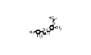 Cc1cc(CCN[C@@H](C)[C@@H](O)c2ccc(O)cc2)ccc1OCC(=O)O